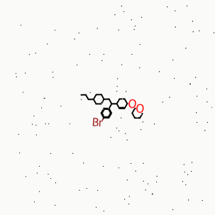 CCCC1CCC(CC(c2ccc(Br)cc2)C2C=CC(OC3CCCCO3)CC2)CC1